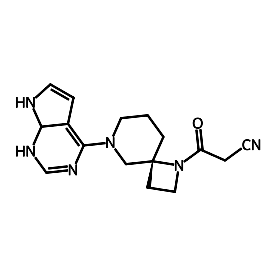 N#CCC(=O)N1CC[C@@]12CCCN(C1=C3C=CNC3NC=N1)C2